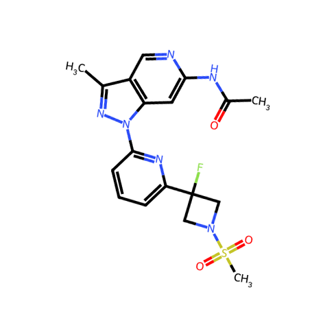 CC(=O)Nc1cc2c(cn1)c(C)nn2-c1cccc(C2(F)CN(S(C)(=O)=O)C2)n1